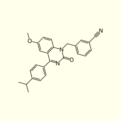 COc1ccc2c(c1)c(-c1ccc(C(C)C)cc1)nc(=O)n2Cc1cccc(C#N)c1